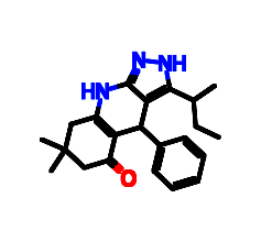 CCC(C)c1[nH]nc2c1C(c1ccccc1)C1=C(CC(C)(C)CC1=O)N2